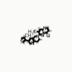 Cc1cscc1-c1cnc2c(c1)CN(c1nn3c(=O)ccnc3cc1C)CC2